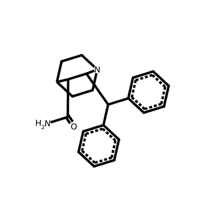 NC(=O)C1C2CCN(CC2)C1C(c1ccccc1)c1ccccc1